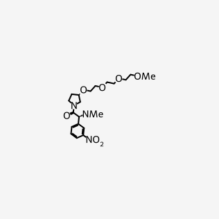 CN[C@H](C(=O)N1CC[C@H](OCCOCCOCCOC)C1)c1cccc([N+](=O)[O-])c1